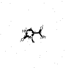 CC(C)C(=O)c1c[nH]c(=O)n1C